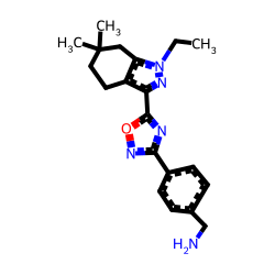 CCn1nc(-c2nc(-c3ccc(CN)cc3)no2)c2c1CC(C)(C)CC2